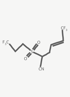 N#CC(CC=CC(F)(F)F)S(=O)(=O)CCC(F)(F)F